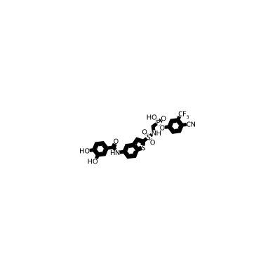 N#Cc1ccc(OP(=O)(O)CNS(=O)(=O)c2cc3cc(NC(=O)c4ccc(O)c(O)c4)ccc3s2)cc1C(F)(F)F